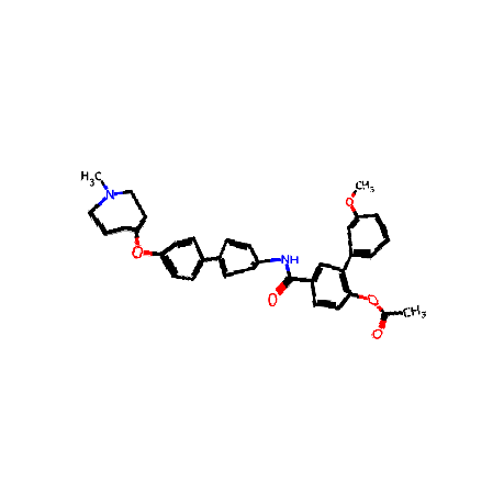 COc1cccc(-c2cc(C(=O)Nc3ccc(-c4ccc(OC5CCN(C)CC5)cc4)cc3)ccc2OC(C)=O)c1